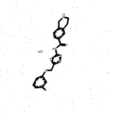 Cl.O=C(Nc1nnc(COc2cccc(F)c2)s1)c1ccc2c(c1)CCNC2